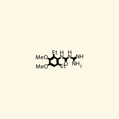 CCc1cc(OC)c(OC)c(CC)c1NC(=O)NC(=N)N